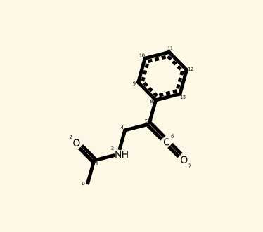 CC(=O)NCC(=C=O)c1ccccc1